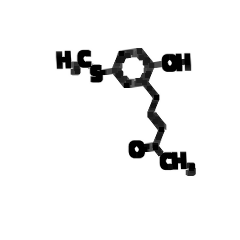 CSc1ccc(O)c(C/C=C/C(C)=O)c1